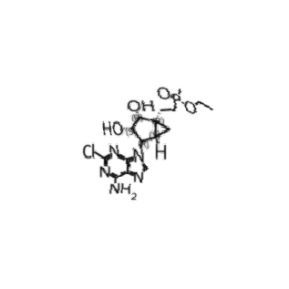 CCOP(C)(=O)CC[C@]12C[C@@H]1[C@@H](n1cnc3c(N)nc(Cl)nc31)[C@H](O)[C@@H]2O